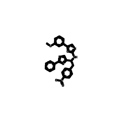 COc1cccc(-c2cnc(NC(Cc3ccc([N+](=O)[O-])cc3)c3csc(-c4ccccc4)n3)o2)c1